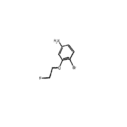 Nc1ccc(Br)c(OCCF)c1